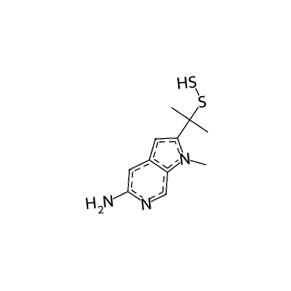 Cn1c(C(C)(C)SS)cc2cc(N)ncc21